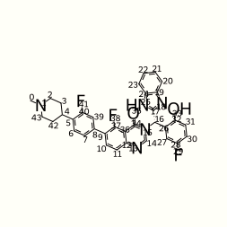 CN1CCC(c2ccc(-c3ccc4ncn([C@H](c5nc6ccccc6[nH]5)c5cc(F)ccc5O)c(=O)c4c3F)cc2F)CC1